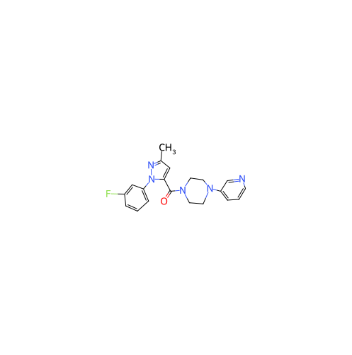 Cc1cc(C(=O)N2CCN(c3cccnc3)CC2)n(-c2cccc(F)c2)n1